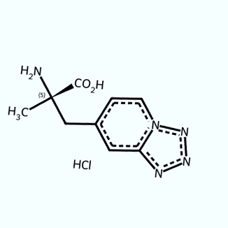 C[C@](N)(Cc1ccn2nnnc2c1)C(=O)O.Cl